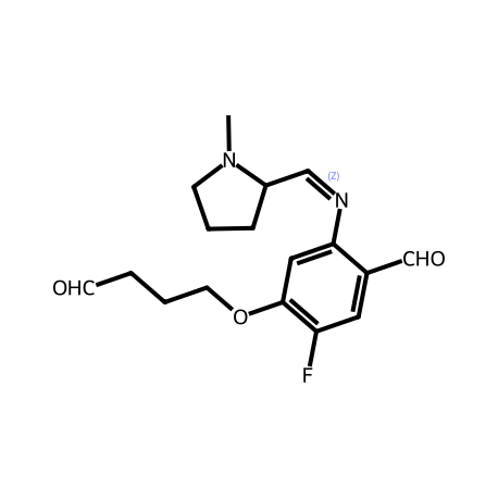 CN1CCCC1/C=N\c1cc(OCCCC=O)c(F)cc1C=O